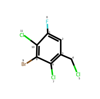 Fc1cc(CCl)c(Cl)c(Br)c1Cl